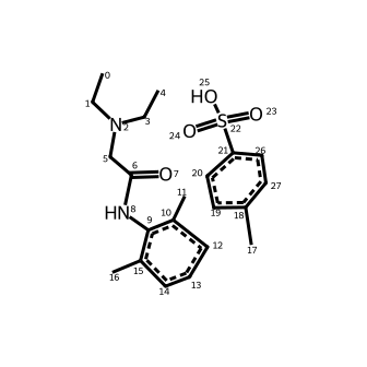 CCN(CC)CC(=O)Nc1c(C)cccc1C.Cc1ccc(S(=O)(=O)O)cc1